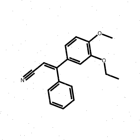 CCOc1cc(C(=CC#N)c2ccccc2)ccc1OC